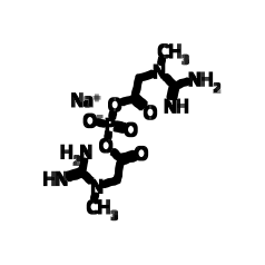 CN(CC(=O)OP(=O)([O-])OC(=O)CN(C)C(=N)N)C(=N)N.[Na+]